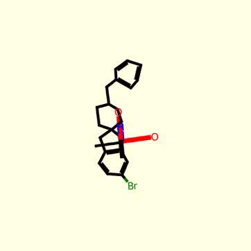 O=C1NC(=O)C2(N1)c1cc(Br)ccc1CC21CCC(Cc2ccccc2)CC1